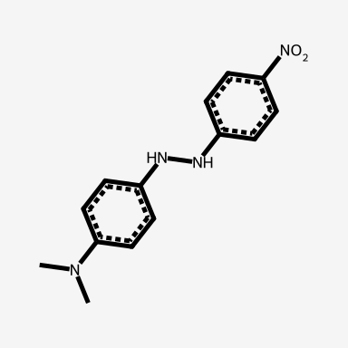 CN(C)c1ccc(NNc2ccc([N+](=O)[O-])cc2)cc1